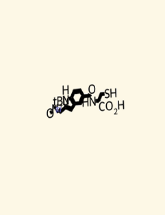 CC(C)(C)/[N+]([O-])=C\c1cc2cc(C(=O)NC(CS)C(=O)O)ccc2[nH]1